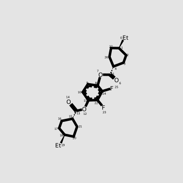 CC[C@H]1CC[C@H](C(=O)Oc2ccc(OC(=O)[C@H]3CC[C@H](CC)CC3)c(F)c2F)CC1